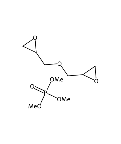 C(OCC1CO1)C1CO1.COP(=O)(OC)OC